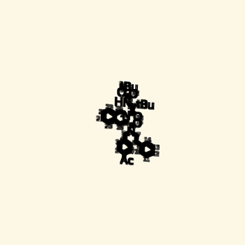 CC(=O)c1ccc(CN(CCc2ccccc2)C(=O)[C@@H]2Cc3ccccc3CN2C(=O)[C@@H](NC(=O)OC(C)(C)C)C(C)(C)C)cc1